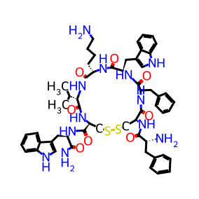 CC(C)[C@@H]1NC(=O)[C@H](CCCCN)NC(=O)[C@@H](Cc2c[nH]c3ccccc23)NC(=O)C(Cc2ccccc2)NC(=O)[C@@H](NC(=O)[C@H](N)Cc2ccccc2)CSSC[C@@H](C(=O)N[C@H](Cc2c[nH]c3ccccc23)C(N)=O)NC1=O